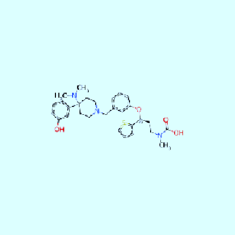 CN(CC[C@H](Oc1cccc(CN2CCC(c3cccc(O)c3)(N(C)C)CC2)c1)c1cccs1)C(=O)O